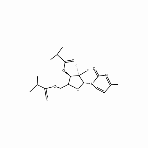 Cc1ccn([C@@H]2OC(COC(=O)C(C)C)[C@@H](OC(=O)C(C)C)[C@@]2(C)F)c(=O)n1